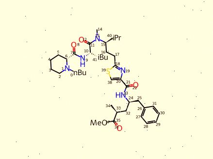 CCCCN1CCCC[C@@H]1C(=O)N[C@H](C(=O)N(C)[C@H](CCc1nc(C(=O)N[C@@H](Cc2ccccc2)C[C@H](C)C(=O)OC)cs1)C(C)C)[C@@H](C)CC